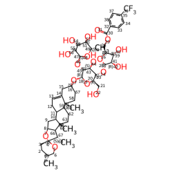 C[C@@H]1CC[C@@]2(OC1)OC1CC3C4CC=C5C[C@@H](O[C@@H]6O[C@H](CO)[C@@H](O[C@@H]7O[C@@H](COC(=O)c8ccc(C(F)(F)F)cc8)[C@H](O)[C@H]7O)[C@H](O)[C@H]6O[C@@H]6O[C@@H](C)[C@H](O)[C@@H](O)[C@H]6O)CC[C@]5(C)C4CC[C@]3(C)C1[C@@H]2C